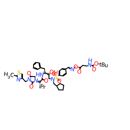 Cc1nc(CN2C(=O)CN([C@H](C(=O)N[C@@H](Cc3ccccc3)[C@H](O)CN(CC3CCCC3)S(=O)(=O)c3ccc(C=NOC(=O)CCNC(=O)OC(C)(C)C)cc3)C(C)C)C2=O)cs1